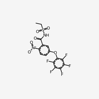 CCS(=O)(=O)NC(=O)c1cc(Oc2c(F)c(F)c(F)c(F)c2F)ccc1[N+](=O)[O-]